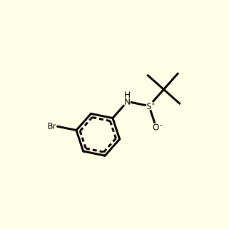 CC(C)(C)[S+]([O-])Nc1cccc(Br)c1